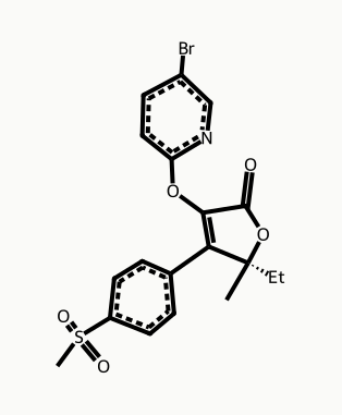 CC[C@@]1(C)OC(=O)C(Oc2ccc(Br)cn2)=C1c1ccc(S(C)(=O)=O)cc1